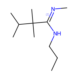 CCCN/C(=N\C)C(C)(C)C(C)C